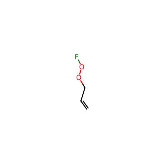 C=CCOOF